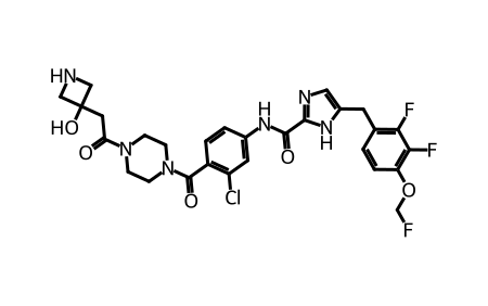 O=C(Nc1ccc(C(=O)N2CCN(C(=O)CC3(O)CNC3)CC2)c(Cl)c1)c1ncc(Cc2ccc(OCF)c(F)c2F)[nH]1